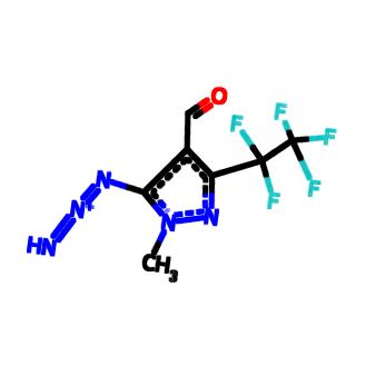 Cn1nc(C(F)(F)C(F)(F)F)c(C=O)c1N=[N+]=N